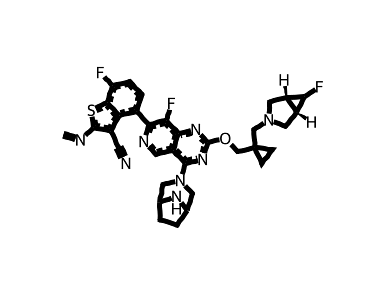 C=Nc1sc2c(F)ccc(-c3ncc4c(N5CC6CCC(C5)N6)nc(OCC5(CN6C[C@@H]7C(F)[C@@H]7C6)CC5)nc4c3F)c2c1C#N